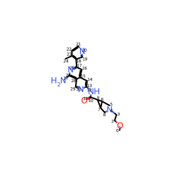 COCCN1CC2C(C1)C2C(=O)Nc1cc2cc(-c3cnccc3C)nc(N)c2cn1